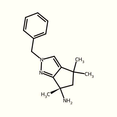 CC1(C)C[C@](C)(N)c2nn(Cc3ccccc3)cc21